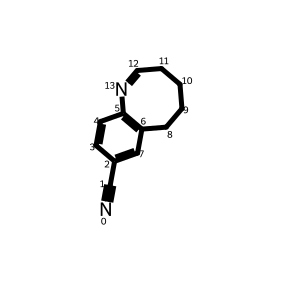 N#Cc1ccc2c(c1)CCCC/C=N\2